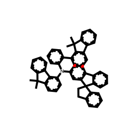 CC1(C)c2ccccc2-c2c(N(c3ccc4c(c3)C3(CCc5ccccc53)c3ccccc3-4)c3ccccc3-c3cccc4c3C(C)(C)c3ccccc3-4)cccc21